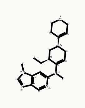 CC[C@H]1C[C@@H](C2=CCOCC2)CC=C1N(C)c1cc2c(cn1)ncn2C